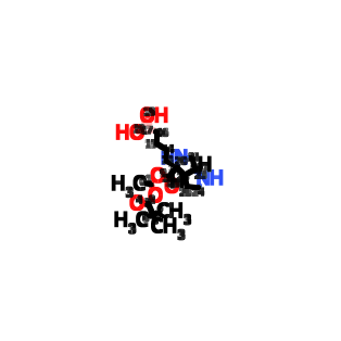 CC(OC(=O)C(C)(C)C)OC(=O)[C@]1(CCCCB(O)O)NC[C@@H]2NCC[C@@H]21